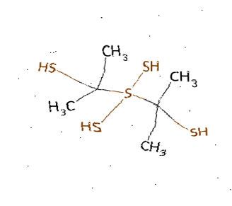 CC(C)(S)S(S)(S)C(C)(C)S